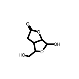 O=C1CC2C(CO)OC(O)C2O1